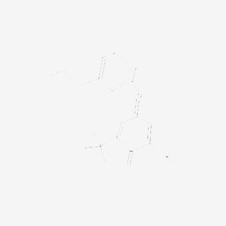 CCOc1cccc(N=C2C=C(C(C)(C)C)C(=O)C(C(C)(C)C)=C2)c1